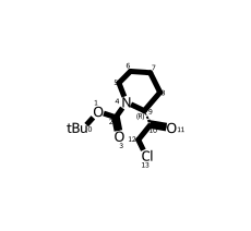 CC(C)(C)OC(=O)N1CCCC[C@@H]1C(=O)CCl